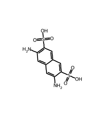 Nc1cc2cc(N)c(S(=O)(=O)O)cc2cc1S(=O)(=O)O